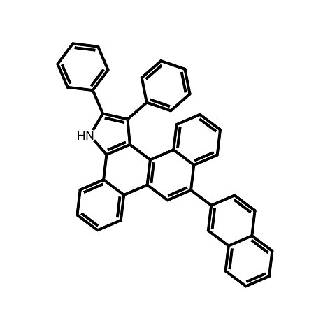 c1ccc(-c2[nH]c3c4ccccc4c4cc(-c5ccc6ccccc6c5)c5ccccc5c4c3c2-c2ccccc2)cc1